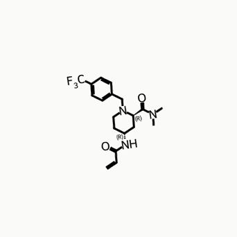 C=CC(=O)N[C@@H]1CCN(Cc2ccc(C(F)(F)F)cc2)[C@@H](C(=O)N(C)C)C1